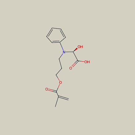 C=C(C)C(=O)OCCCN(c1ccccc1)[C@@H](O)C(=O)O